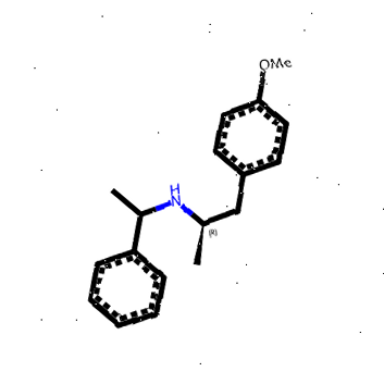 COc1ccc(C[C@@H](C)NC(C)c2ccccc2)cc1